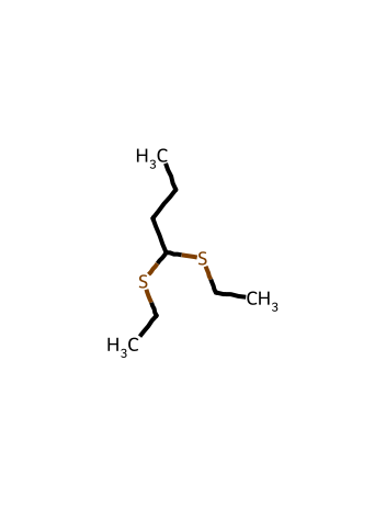 CCCC(SCC)SCC